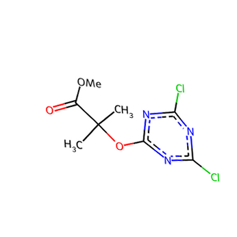 COC(=O)C(C)(C)Oc1nc(Cl)nc(Cl)n1